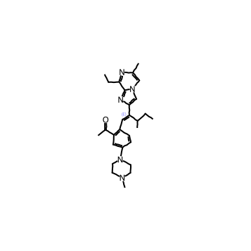 CCc1nc(C)cn2cc(/C(=C/c3ccc(N4CCN(C)CC4)cc3C(C)=O)C(C)CC)nc12